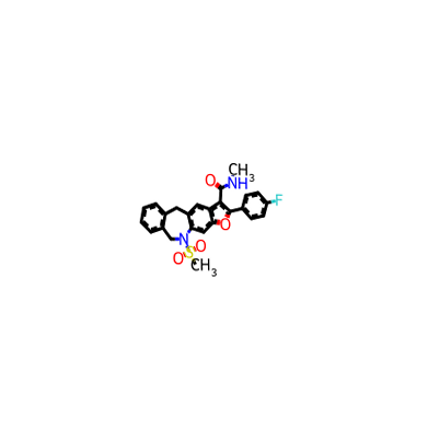 CNC(=O)c1c(-c2ccc(F)cc2)oc2cc3c(cc12)Cc1ccccc1CN3S(C)(=O)=O